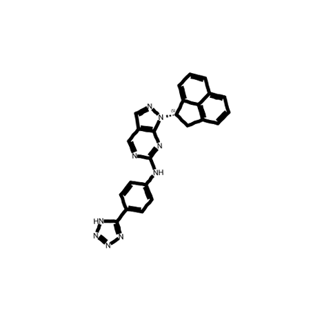 c1cc2c3c(cccc3c1)[C@@H](n1ncc3cnc(Nc4ccc(-c5nnn[nH]5)cc4)nc31)C2